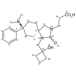 CN(C)[C@]1(c2ccccc2)CC[C@]2(CC1)CN(CCC(=O)O)C(=O)N2CC1(O)CCC1